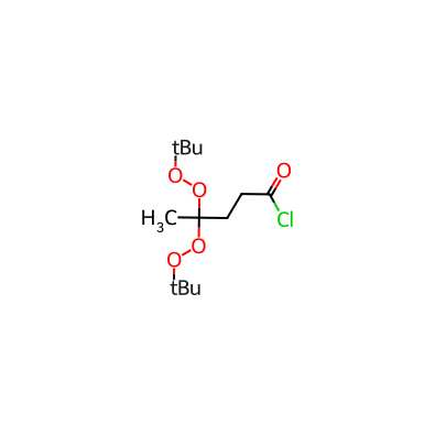 CC(C)(C)OOC(C)(CCC(=O)Cl)OOC(C)(C)C